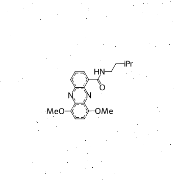 COc1ccc(OC)c2nc3c(C(=O)NCCC(C)C)cccc3nc12